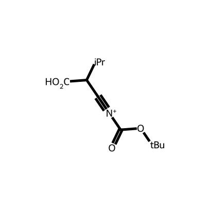 CC(C)C(C#[N+]C(=O)OC(C)(C)C)C(=O)O